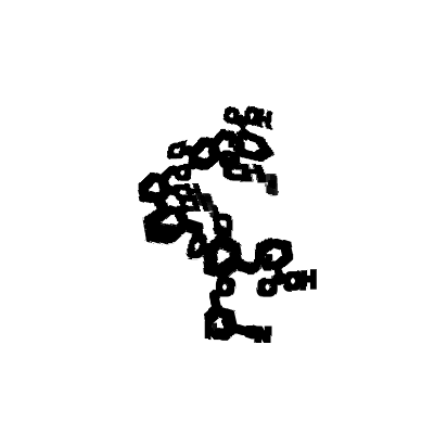 COc1cc(OCc2cccc(-c3cccc(COc4cc(OCc5cncc(C#N)c5)c(CN5CCCC[C@H]5C(=O)O)cc4Cl)c3C)c2C)c(Cl)cc1CN1CCCC[C@H]1C(=O)O